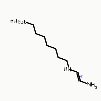 CCCCCCCCCCCCCCN/C=C/N